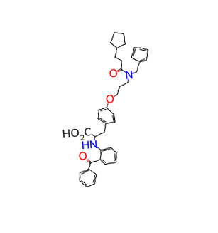 O=C(c1ccccc1)c1ccccc1NC(Cc1ccc(OCCCN(Cc2ccccc2)C(=O)CCC2CCCC2)cc1)C(=O)O